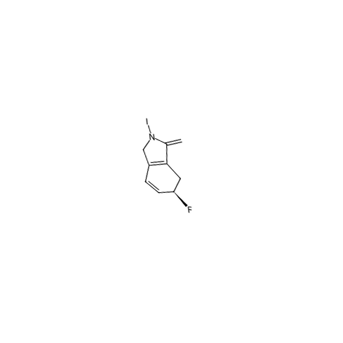 C=C1C2=C(C=C[C@H](F)C2)CN1I